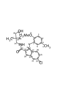 COc1ccc(C)cc1Cn1c(C(=O)NCC(C)(C)CO)cc2cc(Cl)ccc21